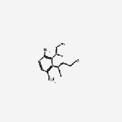 CC(C)CCC(C)c1c(N)ccc(N)c1C(C)CC(C)C